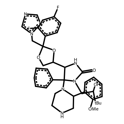 COc1ccccc1C1CNCCN1C1(c2ccccc2)C(C2COC(Cn3cncn3)(c3ccc(F)cc3F)O2)NC(=O)N1CC(O)C(C)(C)C